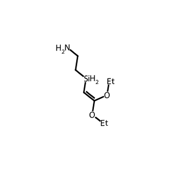 CCOC(=C[SiH2]CCN)OCC